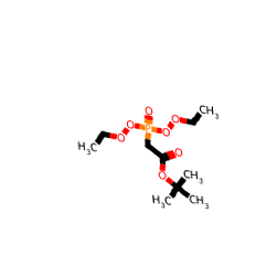 CCOOP(=O)(CC(=O)OC(C)(C)C)OOCC